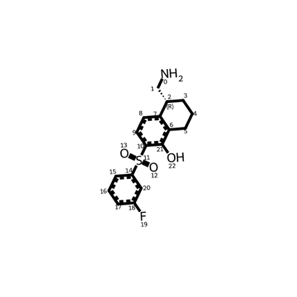 NC[C@@H]1CCCc2c1ccc(S(=O)(=O)c1cccc(F)c1)c2O